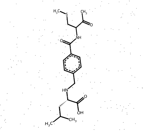 CSCC(NC(=O)c1ccc(CN[C@@H](CC(C)C)C(=O)O)cc1)C(C)=O